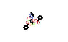 Cc1ccn([C@@H]2O[C@@](COC(=O)c3ccccc3)(C(F)(F)F)[C@@H](OC(=O)c3ccccc3)[C@H]2F)c(=O)n1